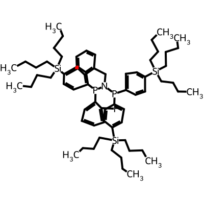 CCCC[Si](CCCC)(CCCC)c1ccc(P(c2ccc([Si](CCCC)(CCCC)CCCC)cc2)N(Cc2ccccc2)P(c2ccc([Si](CCCC)(CCCC)CCCC)cc2)c2ccccc2F)cc1